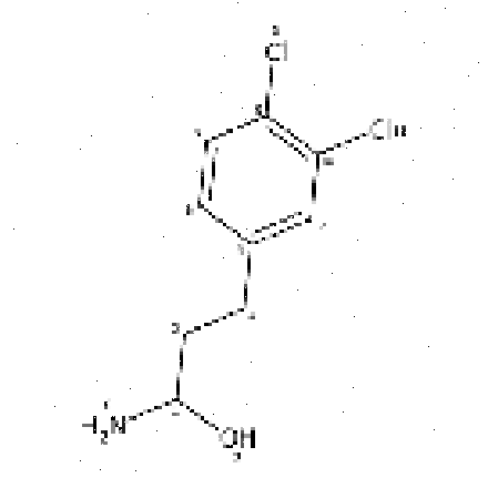 NC(O)CCc1ccc(Cl)c(Cl)c1